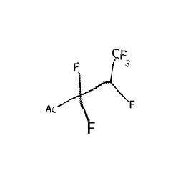 CC(=O)C(F)(F)C(F)C(F)(F)F